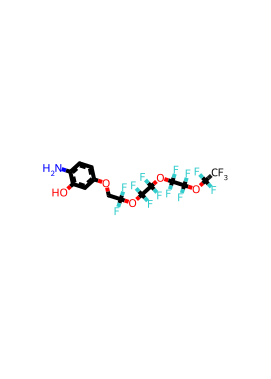 Nc1ccc(OCC(F)(F)OC(F)(F)C(F)(F)OC(F)(F)C(F)(F)OC(F)(F)C(F)(F)F)cc1O